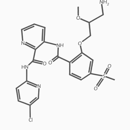 COC(CN)COc1cc(S(C)(=O)=O)ccc1C(=O)Nc1cccnc1C(=O)Nc1ccc(Cl)cn1